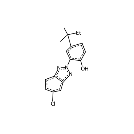 CCC(C)(C)c1ccc(O)c(-n2nc3ccc(Cl)cc3n2)c1